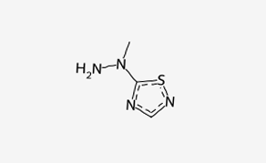 CN(N)c1ncns1